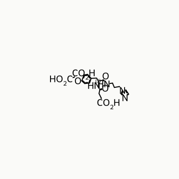 O=C(O)CCC(=O)N[C@@H](Cc1ccc(OC(C(=O)O)C(=O)O)cc1)C(=O)NCCCn1ccnc1